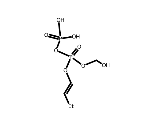 CCC=COP(=O)(OCO)OP(=O)(O)O